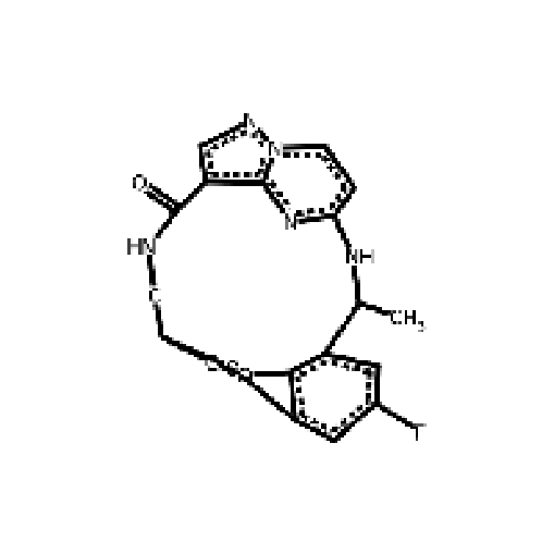 CC1Nc2ccn3ncc(c3n2)C(=O)NCC2COc3c(cc(F)cc31)O2